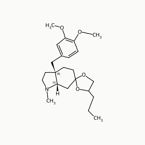 CCCC1COC2(CC[C@@]3(Cc4ccc(OC)c(OC)c4)CCN(C)[C@H]3C2)O1